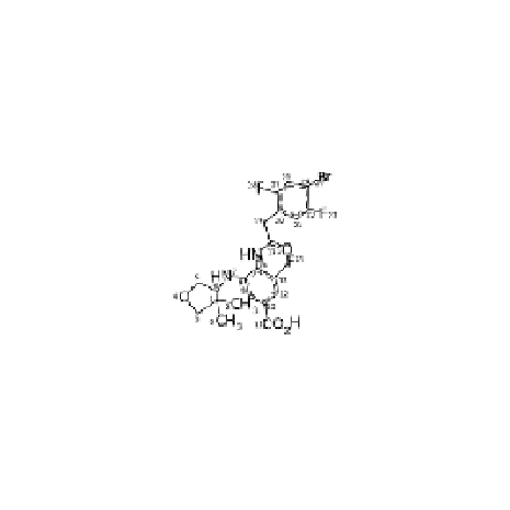 CC1(C)COCC1Nc1cc(C(=O)O)cc(F)c1NC(=O)Cc1cc(F)c(Br)cc1F